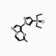 CCP(=O)(CC)c1cnn(-c2cnn3ccc(C)nc23)c1